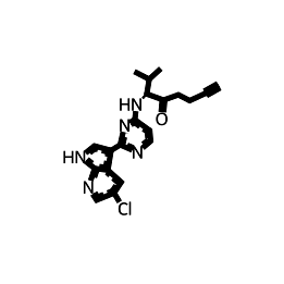 C#CCCC(=O)[C@H](Nc1ccnc(-c2c[nH]c3ncc(Cl)cc23)n1)C(C)C